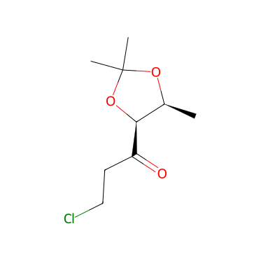 C[C@@H]1OC(C)(C)O[C@@H]1C(=O)CCCl